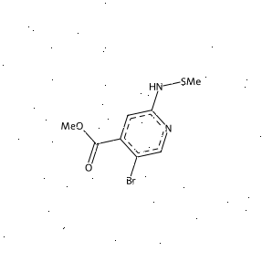 COC(=O)c1cc(NSC)ncc1Br